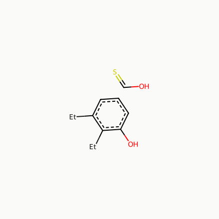 CCc1cccc(O)c1CC.OC=S